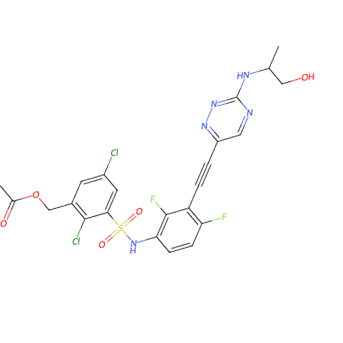 CC(=O)OCc1cc(Cl)cc(S(=O)(=O)Nc2ccc(F)c(C#Cc3cnc(NC(C)CO)nn3)c2F)c1Cl